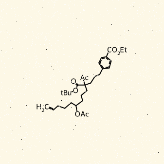 C=CCCCC(CCCC(CCCc1ccc(C(=O)OCC)cc1)(C(C)=O)C(=O)OC(C)(C)C)OC(C)=O